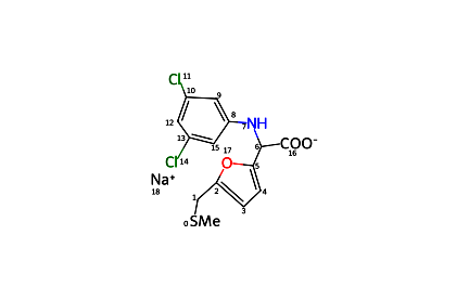 CSCc1ccc(C(Nc2cc(Cl)cc(Cl)c2)C(=O)[O-])o1.[Na+]